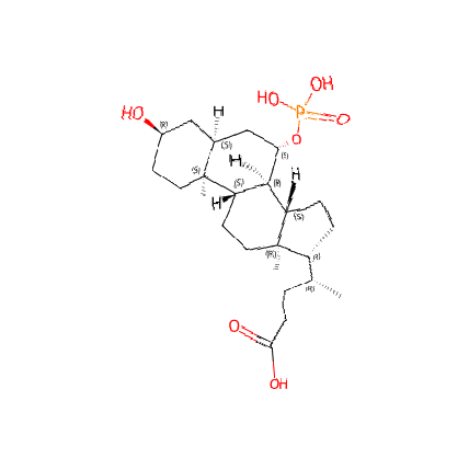 C[C@H](CCC(=O)O)[C@H]1CC[C@H]2[C@@H]3[C@@H](OP(=O)(O)O)C[C@@H]4C[C@H](O)CC[C@]4(C)[C@H]3CC[C@]12C